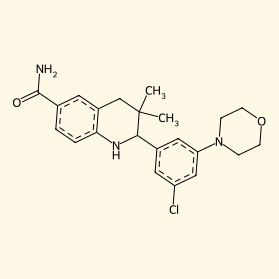 CC1(C)Cc2cc(C(N)=O)ccc2NC1c1cc(Cl)cc(N2CCOCC2)c1